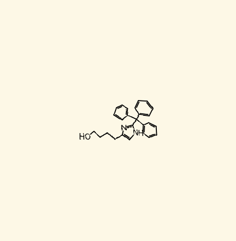 OCCCCc1c[nH]c(C(c2ccccc2)(c2ccccc2)c2ccccc2)n1